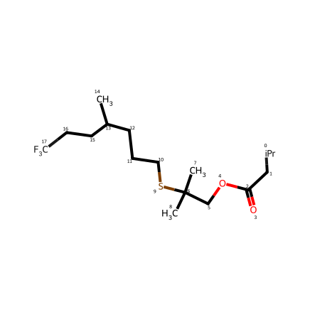 CC(C)CC(=O)OCC(C)(C)SCCCC(C)CCC(F)(F)F